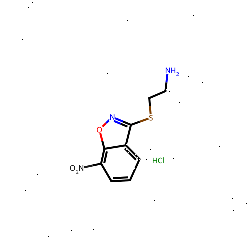 Cl.NCCSc1noc2c([N+](=O)[O-])cccc12